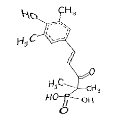 Cc1cc(C=CC(=O)C(C)(C)P(=O)(O)O)cc(C)c1O